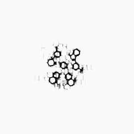 CC(C)(C)c1ccc2c(c1)C1(C)CCCCC1(C)N2c1cc2c3c(c1)-n1c4c(c5cc(C(C)(C)C)cc(c51)B3c1cc3c(cc1N2c1ccc2c(c1)C(C)(C)CCC2(C)C)C(C)(C)CCC3(C)C)-c1ccccc1C4(C)C